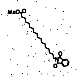 COC(=O)CCCCCCCCCCCCCCCCCN1C(=O)c2ccccc2C1=O